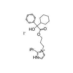 CC(C)c1[nH]cc[n+]1CCCOC(=O)C(O)(c1ccccc1)C1CCCCC1.[I-]